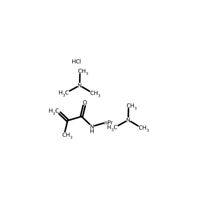 C=C(C)C(=O)NCCC.CN(C)C.CN(C)C.Cl